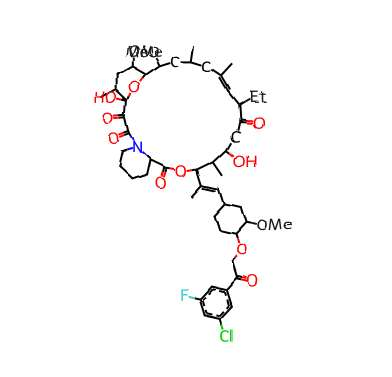 CCC1/C=C(\C)CC(C)CC(OC)C2OC(O)(C(=O)C(=O)N3CCCCC3C(=O)OC(C(C)=CC3CCC(OCC(=O)c4cc(F)cc(Cl)c4)C(OC)C3)C(C)C(O)CC1=O)C(C)CC2OC